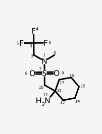 CN(CC(F)(F)F)S(=O)(=O)CC1(N)CCCCC1